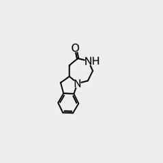 O=C1CC2Cc3ccccc3N2CCN1